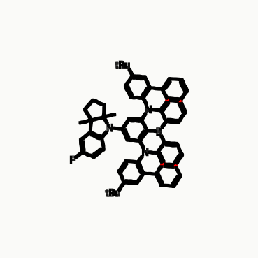 CC(C)(C)c1ccc(N2c3ccccc3B3c4ccccc4N(c4ccc(C(C)(C)C)cc4-c4ccccc4)c4cc(N5c6ccc(F)cc6C6(C)CCCC56C)cc2c43)c(-c2ccccc2)c1